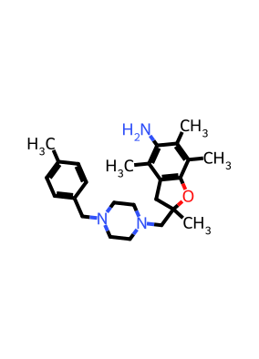 Cc1ccc(CN2CCN(CC3(C)Cc4c(C)c(N)c(C)c(C)c4O3)CC2)cc1